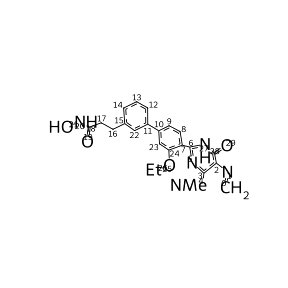 C=Nc1c(NC)nc(-c2ccc(-c3cccc(CCC(=O)NO)c3)cc2OCC)[nH]c1=O